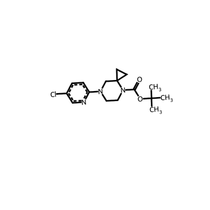 CC(C)(C)OC(=O)N1CCN(c2ccc(Cl)cn2)CC12CC2